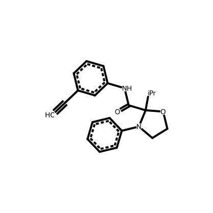 C#Cc1cccc(NC(=O)C2(C(C)C)OCCN2c2ccccc2)c1